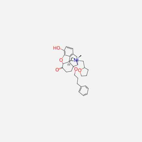 C[N@+]1(CC2CCCO2)CC[C@]23c4c5ccc(O)c4OC2C(=O)CCC3(OCCCc2ccccc2)C1C5